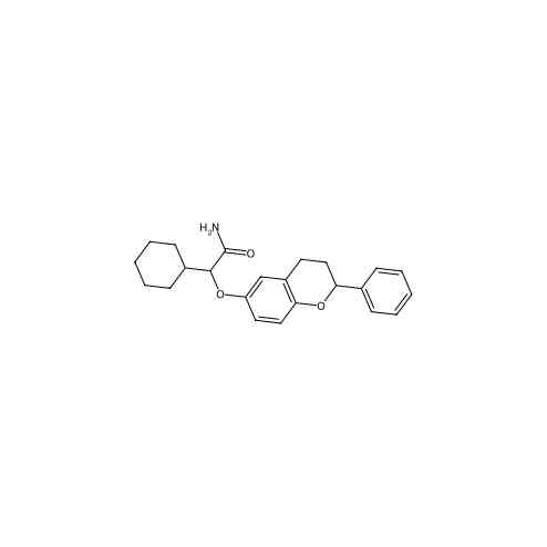 NC(=O)C(Oc1ccc2c(c1)CCC(c1ccccc1)O2)C1CCCCC1